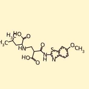 COc1ccc2nc(NC(=O)C(CNC(CC(C)C)C(=O)O)C(=O)O)sc2c1